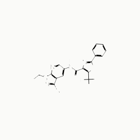 CCn1nc(N)c2cc(NC(=O)c3nc(-c4ccccc4)oc3C(F)(F)F)cnc21